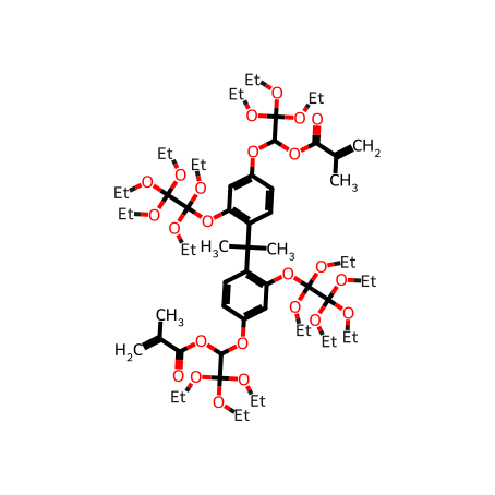 C=C(C)C(=O)OC(Oc1ccc(C(C)(C)c2ccc(OC(OC(=O)C(=C)C)C(OCC)(OCC)OCC)cc2OC(OCC)(OCC)C(OCC)(OCC)OCC)c(OC(OCC)(OCC)C(OCC)(OCC)OCC)c1)C(OCC)(OCC)OCC